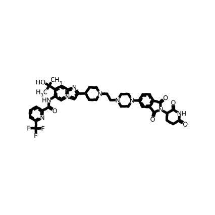 CC(C)(O)c1cc2nc(C3CCN(CCN4CCN(c5ccc6c(c5)C(=O)N(C5CCC(=O)NC5=O)C6=O)CC4)CC3)cn2cc1NC(=O)c1cccc(C(F)(F)F)n1